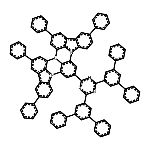 c1ccc(-c2cc(-c3ccccc3)cc(-c3nc(-c4cc(-c5ccccc5)cc(-c5ccccc5)c4)nc(-c4cc5c6c(c4)-n4c7ccc(-c8ccccc8)cc7c7cc(-c8ccccc8)cc(c74)B6c4cc(-c6ccccc6)cc6c7cc(-c8ccccc8)ccc7n-5c46)n3)c2)cc1